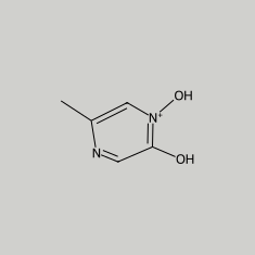 Cc1c[n+](O)c(O)cn1